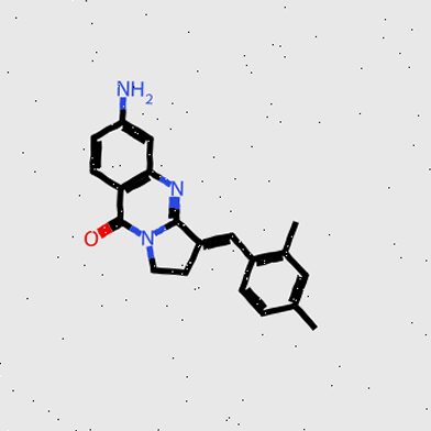 Cc1ccc(/C=C2\CCn3c2nc2cc(N)ccc2c3=O)c(C)c1